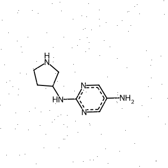 Nc1cnc(NC2CCNC2)nc1